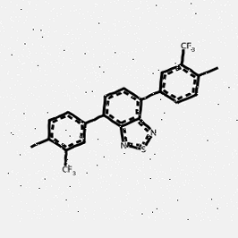 Cc1ccc(-c2ccc(-c3ccc(C)c(C(F)(F)F)c3)c3nsnc23)cc1C(F)(F)F